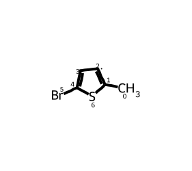 Cc1[c]cc(Br)s1